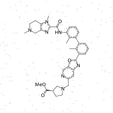 COC(=O)[C@@H]1CCN(Cc2cc3nc(-c4cccc(-c5cccc(NC(=O)c6nc7c(n6C)CCN(C)C7)c5C)c4C)oc3cn2)C1